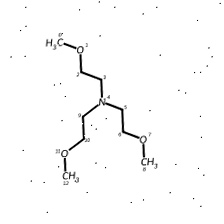 COCCN(CCOC)CCOC